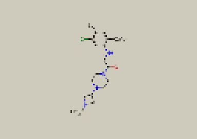 CCc1cc(OC)c(NCC(=O)N2CCN(C3CN(C(=O)O)C3)CC2)cc1Cl